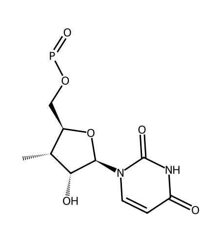 C[C@H]1[C@@H](O)[C@H](n2ccc(=O)[nH]c2=O)O[C@@H]1COP=O